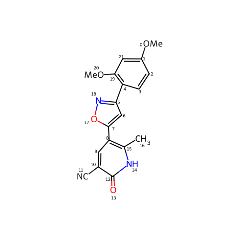 COc1ccc(-c2cc(-c3cc(C#N)c(=O)[nH]c3C)on2)c(OC)c1